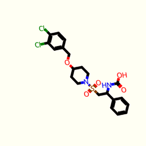 O=C(O)NC(CS(=O)(=O)N1CCC(OCc2ccc(Cl)c(Cl)c2)CC1)c1ccccc1